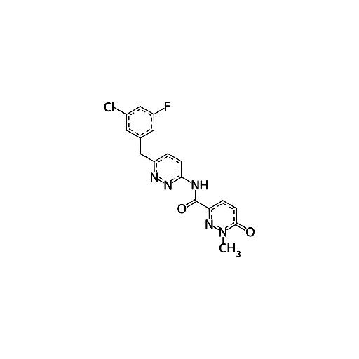 Cn1nc(C(=O)Nc2ccc(Cc3cc(F)cc(Cl)c3)nn2)ccc1=O